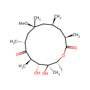 CO[C@@]1(C)C[C@@H](C)C[C@@H](C)C(=O)O[C@H](I)[C@@](C)(O)[C@H](O)[C@@H](C)C(=O)[C@H](C)C1